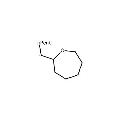 CCCCC[CH]C1CCCCCO1